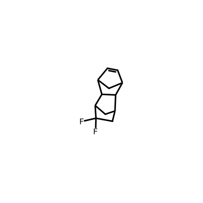 FC1(F)CC2CC1C1C3C=CC(C3)C21